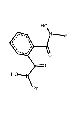 CC(C)N(O)C(=O)c1ccccc1C(=O)N(O)C(C)C